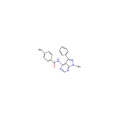 CC(C)(C)c1ccc(C(=O)Nc2ncnc3c2c(-c2ccccc2)nn3C(C)(C)C)cc1